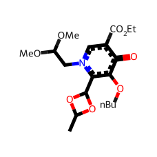 CCCCOc1c(C2OC(C)O2)n(CC(OC)OC)cc(C(=O)OCC)c1=O